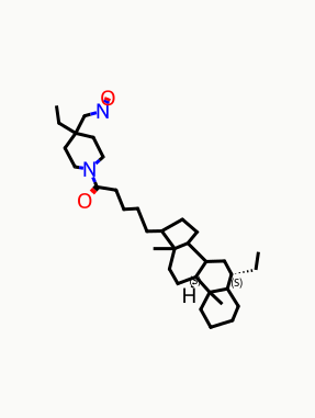 CC[C@H]1CC2C3CCC(CCCCC(=O)N4CCC(CC)(CN=O)CC4)C3(C)CC[C@@H]2C2(C)CCCCC12